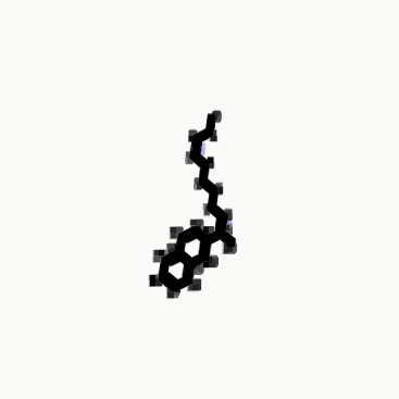 CC/C=C\CCCC/C=C(/C)c1ccc2ccccc2c1